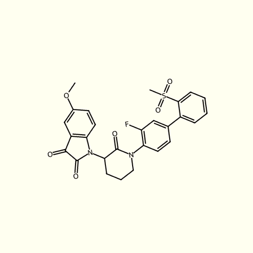 COc1ccc2c(c1)C(=O)C(=O)N2C1CCCN(c2ccc(-c3ccccc3S(C)(=O)=O)cc2F)C1=O